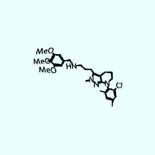 COc1cc(CNCCCc2c3c(nn2C)N(c2c(C)cc(C)cc2Cl)CCC3)cc(OC)c1OC